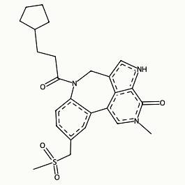 Cn1cc2c3c(c[nH]c3c1=O)CN(C(=O)CCC1CCCC1)c1ccc(CS(C)(=O)=O)cc1-2